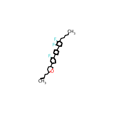 C/C=C/CCC1CCC(c2ccc(-c3ccc(-c4ccc(CCCCC)c(F)c4F)cc3)c(F)c2)CO1